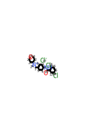 C[N+](C)(Cc1ccc(NC(=O)c2cc(Cl)ccc2Cl)cc1)C1CCOCC1.[Cl-]